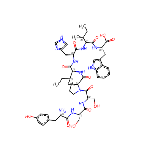 CC[C@H](C)[C@H](NC(=O)[C@H](Cc1c[nH]cn1)NC(=O)[C@@H](NC(=O)[C@@H]1CCCN1C(=O)[C@H](CO)NC(=O)[C@H](CO)NC(=O)[C@@H](N)Cc1ccc(O)cc1)[C@@H](C)CC)C(=O)N[C@@H](Cc1c[nH]c2ccccc12)C(=O)O